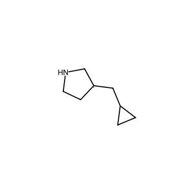 C1C[C](CC2CC2)CN1